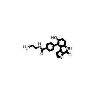 NCCNC(=O)c1ccc(-c2c(O)ccc3[nH]c(=O)c4sccc4c23)cc1